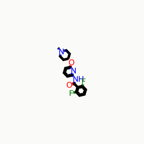 CN1CCC(Oc2cccc(NC(=O)c3c(F)cccc3F)n2)CC1